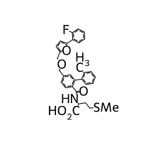 CSCCC(NC(=O)c1ccc(COCc2ccc(-c3ccccc3F)o2)cc1-c1ccccc1C)C(=O)O